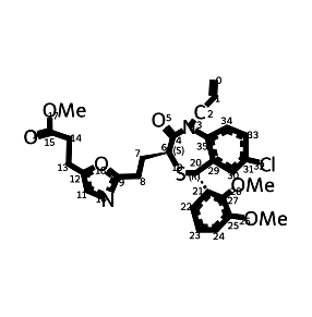 C=CCN1C(=O)[C@H](CCc2ncc(CCC(=O)OC)o2)S[C@@H](c2cccc(OC)c2OC)c2cc(Cl)ccc21